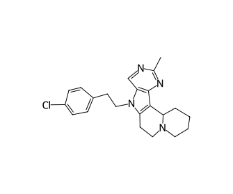 Cc1ncc2c(n1)c1c(n2CCc2ccc(Cl)cc2)CCN2CCCCC12